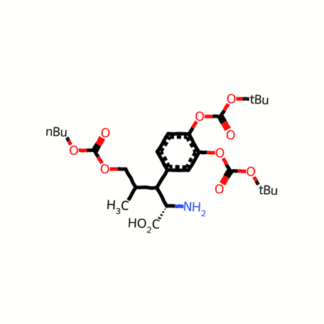 CCCCOC(=O)OCC(C)C(c1ccc(OC(=O)OC(C)(C)C)c(OC(=O)OC(C)(C)C)c1)[C@H](N)C(=O)O